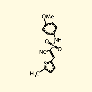 COc1ccc(NS(=O)(=O)C(C#N)=Cc2ccc(C)s2)cc1